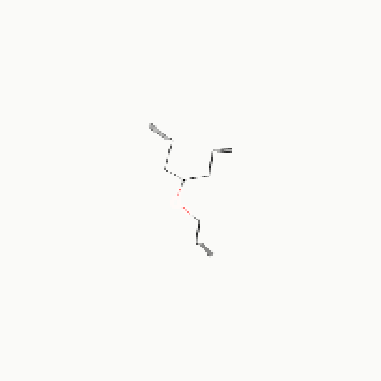 C=CCOC(CC=C)CC=C